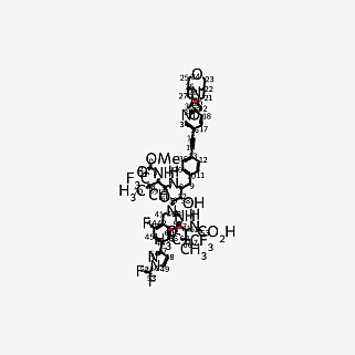 COC(=O)NC(C(=O)NC(Cc1ccc(C#Cc2ccc(N3CC4COCC(C3)N4C3COC3)nc2)cc1)C(O)CN(Cc1c(F)cc(-c2ccn(C(F)F)n2)cc1F)NC(=O)C(NC(=O)O)C(C)(C)C(F)(F)F)C(C)(C)C(F)(F)F